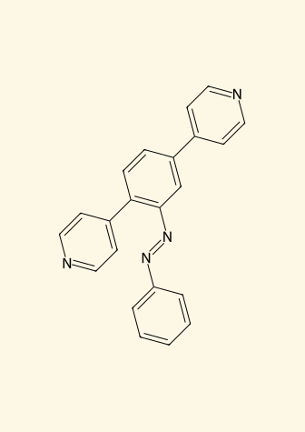 c1ccc(N=Nc2cc(-c3ccncc3)ccc2-c2ccncc2)cc1